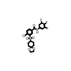 O=C(NC1=CC(F)=C(F)C(F)C1)c1ccc(Cl)c(S(=O)(=O)C2CCC3(CC2)OCCO3)c1